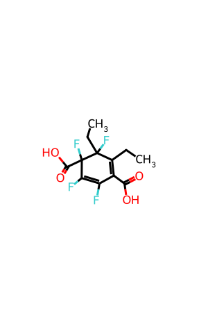 CCC1=C(C(=O)O)C(F)=C(F)C(F)(C(=O)O)C1(F)CC